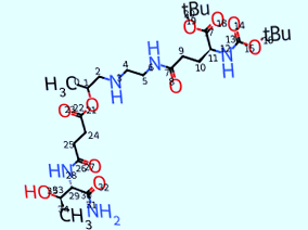 CC(CNCCNC(=O)CC[C@H](NC(=O)OC(C)(C)C)C(=O)OC(C)(C)C)OC(=O)CCC(=O)N[C@H](C(N)=O)[C@@H](C)O